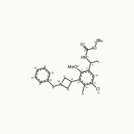 COc1c(C(C)NC(=O)OC(C)(C)C)cc(Cl)c(C)c1C1CN(Cc2ccccc2)C1